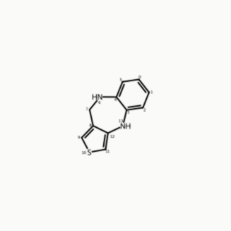 c1ccc2c(c1)NCc1cscc1N2